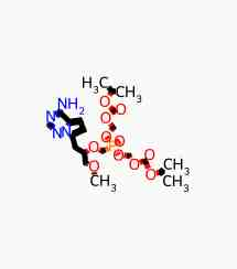 COCC(Cc1ccc2c(N)ncnn12)OCP(=O)(OCOC(=O)OC(C)C)OCOC(=O)OC(C)C